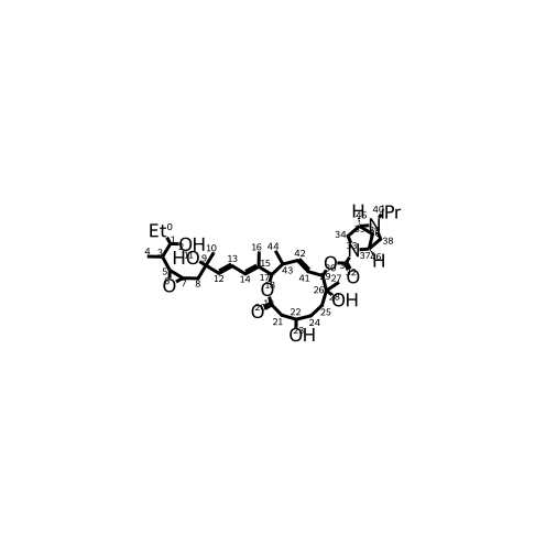 CCC(O)C(C)C1OC1CC(C)(O)/C=C/C=C(\C)C1OC(=O)CC(O)CCC(C)(O)C(OC(=O)N2C[C@@H]3C[C@H]2CN3C(C)C)/C=C/C1C